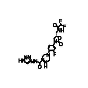 O=C(NC[C@H]1CN(c2ccc(N3CCNN(C(=O)NCc4c[nH]nn4)CC3)c(F)c2)C(=O)O1)C(F)F